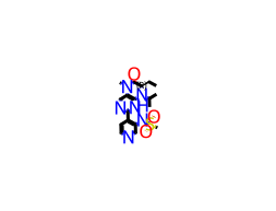 CC[C@@H]1C(=O)N(C)c2cnc(-c3ccncc3NS(C)(=O)=O)nc2N1C(C)C